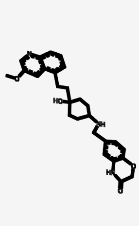 COc1cnc2cccc(CCC3(O)CCC(NCc4ccc5c(c4)NC(=O)CO5)CC3)c2c1